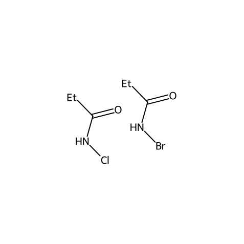 CCC(=O)NBr.CCC(=O)NCl